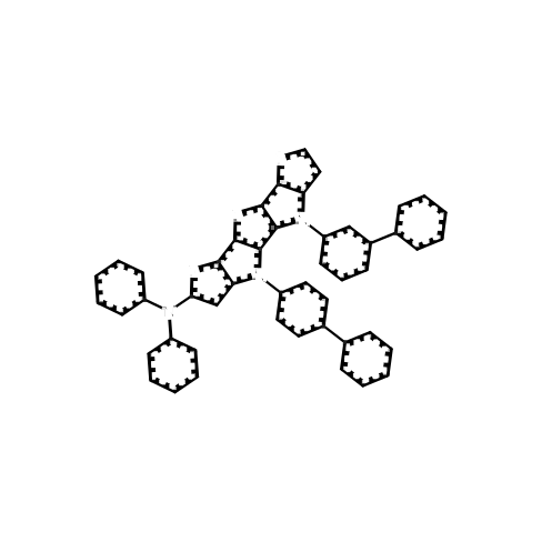 c1ccc(-c2ccc(-n3c4cc(N(c5ccccc5)c5ccccc5)sc4c4sc5c6sccc6n(-c6cccc(-c7ccccc7)c6)c5c43)cc2)cc1